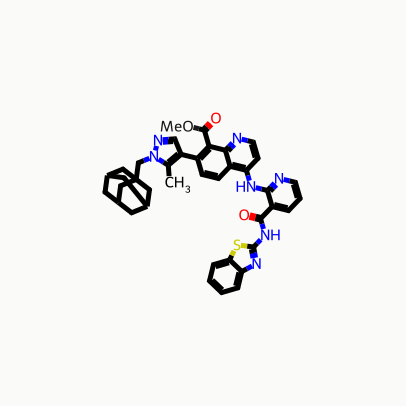 COC(=O)c1c(-c2cnn(CC34CC5CC(CC(C5)C3)C4)c2C)ccc2c(Nc3ncccc3C(=O)Nc3nc4ccccc4s3)ccnc12